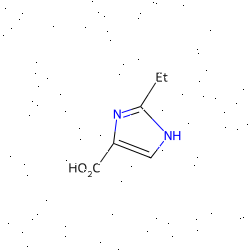 CCc1nc(C(=O)O)c[nH]1